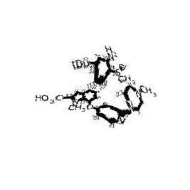 CN1CCN(c2cc(Oc3cccc4cc(C(=O)O)n(C)c34)ccn2)CC1.C[S+]([O-])c1ccc(C(C)(C)C)cc1N